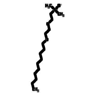 CCCCCCCCCCOCCOCC[N+](C)(C)[O-]